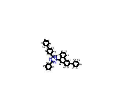 c1ccc(-c2ccc(-c3nc(-c4ccccc4)nc(-c4cc5ccc(-c6ccccc6)cc5c5ccccc45)n3)cc2)cc1